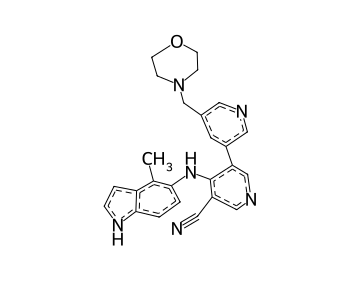 Cc1c(Nc2c(C#N)cncc2-c2cncc(CN3CCOCC3)c2)ccc2[nH]ccc12